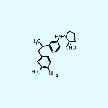 Cc1cc(CC(C)c2cccc(NN3CCC[C@H]3C=O)c2)ccc1N